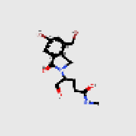 CNC(=O)CCC(C=O)N1Cc2c(CBr)cc(Br)cc2C1=O